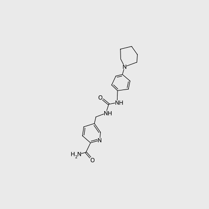 NC(=O)c1ccc(CNC(=O)Nc2ccc(N3CCCCC3)cc2)cn1